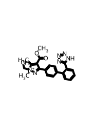 CC[N+]1(C)N=C(c2ccc(-c3ccccc3-c3nnn[nH]3)cc2)C(C(=O)OC)=C1C